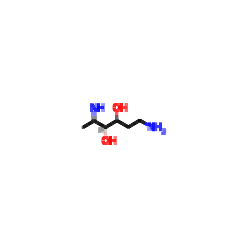 CC(=N)[C@@H](O)C(O)CCN